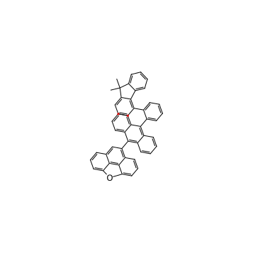 CC1(C)c2ccccc2-c2c(-c3ccccc3-c3c4ccccc4c(-c4cc5cccc6oc7cccc4c7c56)c4ccccc34)cccc21